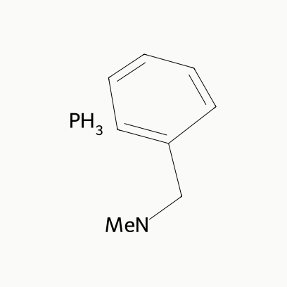 CNCc1ccccc1.P